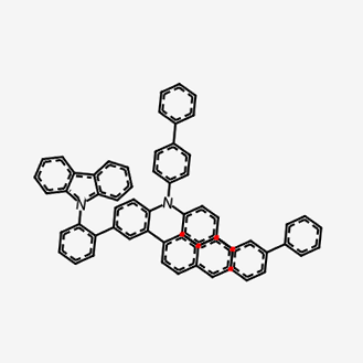 c1ccc(-c2ccc(N(c3ccc(-c4cccc(-c5ccccc5)c4)cc3)c3ccc(-c4ccccc4-n4c5ccccc5c5ccccc54)cc3-c3ccc4ccccc4c3)cc2)cc1